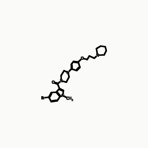 Cn1cc(C(=O)N2CCN(c3ccc(OCCCN4CCCCC4)cc3)CC2)c2cc(Br)ccc21